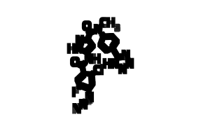 CN(C(=O)c1cc(NC(=O)c2cc(F)c(N=[N+]=[N-])cc2Cl)[nH]n1)c1ccc(-c2nnn[nH]2)cc1